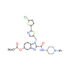 COC(=O)Oc1ccc2c(c1)nc(C(=O)NC1CCN(C(C)C)CC1)n2Cc1cnc(-c2ccc(Cl)s2)s1